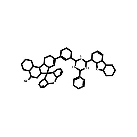 N#CC1CC2C(C3CCCCC13)C1CCC(C3=CC(C4NC(C5=CCCC=C5)NC(C5CC=CC6C7CCCCC7OC65)N4)CCC3)=CC1C21C2CCC=CC2OC2C=CCCC21